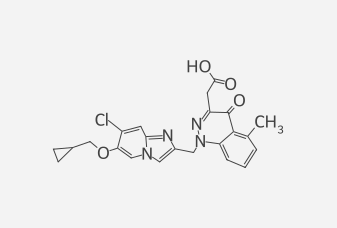 Cc1cccc2c1c(=O)c(CC(=O)O)nn2Cc1cn2cc(OCC3CC3)c(Cl)cc2n1